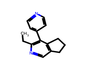 CCc1ncc2c(c1-c1ccncc1)CCC2